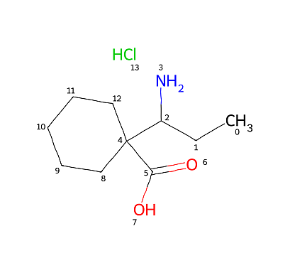 CCC(N)C1(C(=O)O)CCCCC1.Cl